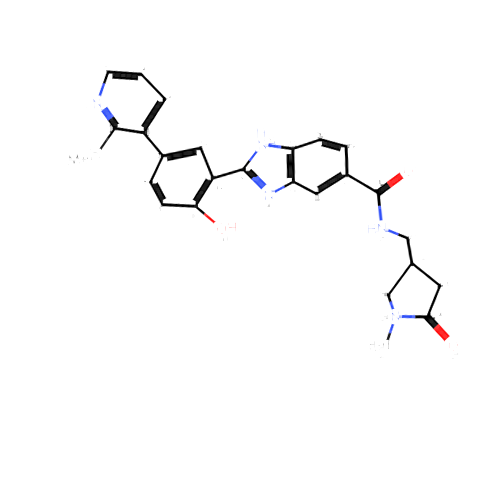 COc1ncccc1-c1ccc(O)c(-c2nc3cc(C(=O)NCC4CC(=O)N(C(C)(C)C)C4)ccc3[nH]2)c1